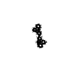 CCC(C)(C)C1(c2ccc(-c3ccc(C4(C)c5ccccc5-c5ccccc54)cc3)cc2)c2ccccc2-c2ccccc21